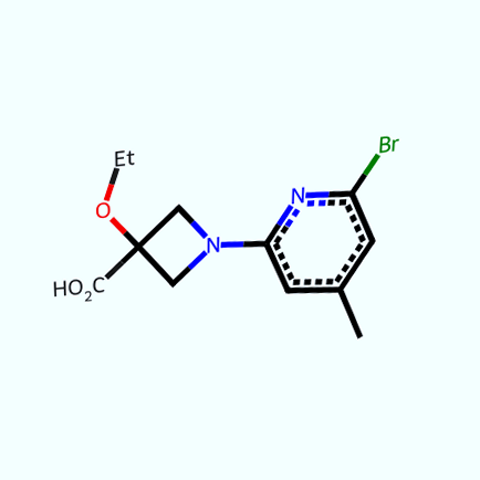 CCOC1(C(=O)O)CN(c2cc(C)cc(Br)n2)C1